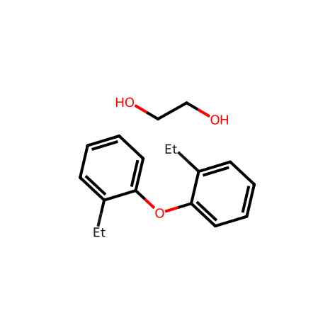 CCc1ccccc1Oc1ccccc1CC.OCCO